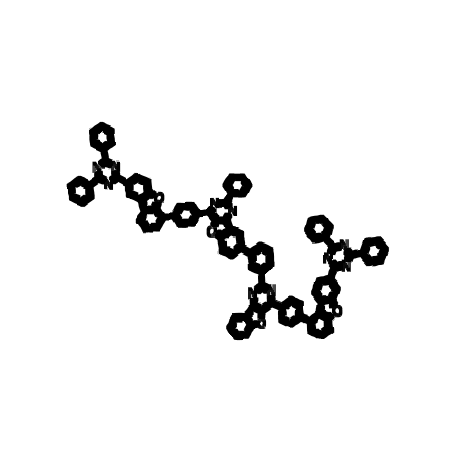 c1ccc(-c2nc(-c3ccccc3)nc(-c3ccc4c(c3)oc3cccc(-c5ccc(-c6nc(-c7cccc(-c8ccc9oc%10c(-c%11ccc(-c%12cccc%13c%12oc%12ccc(-c%14nc(-c%15ccccc%15)nc(-c%15ccccc%15)n%14)cc%12%13)cc%11)nc(-c%11ccccc%11)nc%10c9c8)c7)nc7c6oc6ccccc67)cc5)c34)n2)cc1